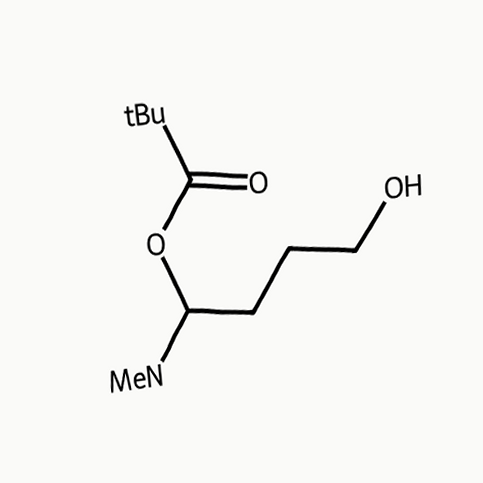 CNC(CCCO)OC(=O)C(C)(C)C